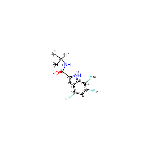 [2H]C([2H])([2H])NC(=O)c1cc2c(F)cc(F)c(F)c2[nH]1